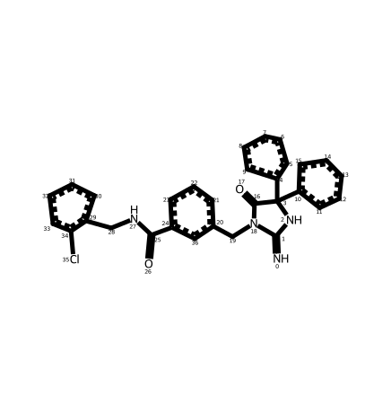 N=C1NC(c2ccccc2)(c2ccccc2)C(=O)N1Cc1cccc(C(=O)NCc2ccccc2Cl)c1